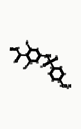 COC(=O)c1c(F)cc(NS(=O)(=O)c2ccc(C(=O)O)cc2)cc1F